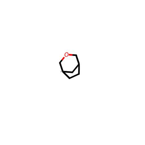 C1CC2COC[C]1C2